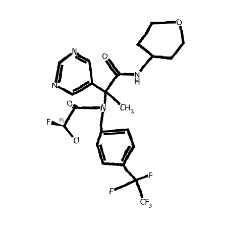 CC(C(=O)NC1CCOCC1)(c1cncnc1)N(C(=O)[C@H](F)Cl)c1ccc(C(F)(F)C(F)(F)F)cc1